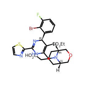 CCOC(=O)C1=C(CN2[C@@H]3COC[C@H]2CC(CC(=O)O)C3)NC(c2nccs2)=N[C@H]1c1cccc(F)c1Br